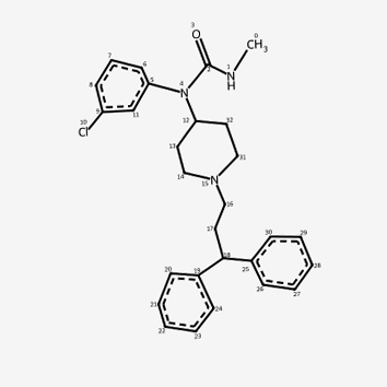 CNC(=O)N(c1cccc(Cl)c1)C1CCN(CCC(c2ccccc2)c2ccccc2)CC1